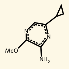 COc1ncc(C2CC2)nc1N